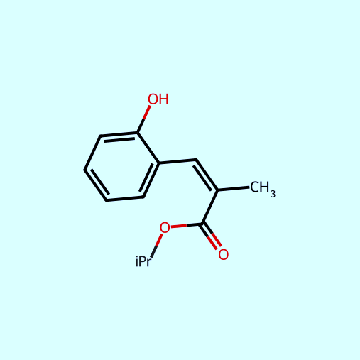 CC(=Cc1ccccc1O)C(=O)OC(C)C